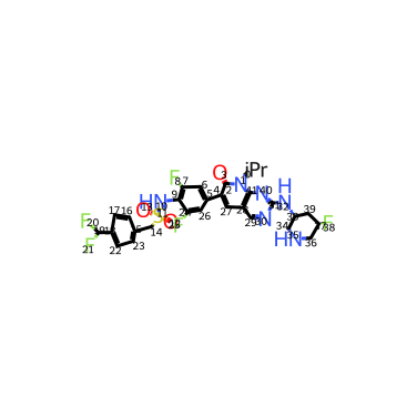 CC(C)n1c(=O)c(-c2cc(F)c(NS(=O)(=O)Cc3ccc(C(F)F)cc3)c(F)c2)cc2cnc(N[C@@H]3CNC[C@@H](F)C3)nc21